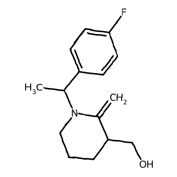 C=C1C(CO)CCCN1C(C)c1ccc(F)cc1